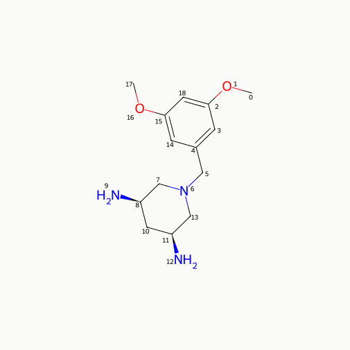 COc1cc(CN2C[C@H](N)C[C@H](N)C2)cc(OC)c1